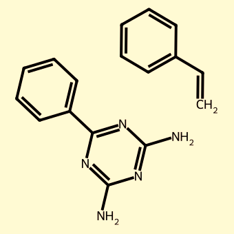 C=Cc1ccccc1.Nc1nc(N)nc(-c2ccccc2)n1